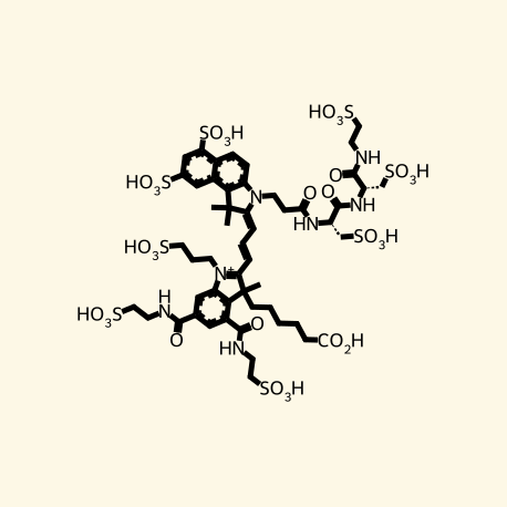 CC1(CCCCCC(=O)O)C(/C=C/C=C2/N(CCC(=O)N[C@@H](CS(=O)(=O)O)C(=O)N[C@@H](CS(=O)(=O)O)C(=O)NCCS(=O)(=O)O)c3ccc4c(S(=O)(=O)O)cc(S(=O)(=O)O)cc4c3C2(C)C)=[N+](CCCS(=O)(=O)O)c2cc(C(=O)NCCS(=O)(=O)O)cc(C(=O)NCCS(=O)(=O)O)c21